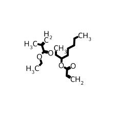 C=C(C)C(=O)OCC.C=CC(=O)OC(CC)CCCCC